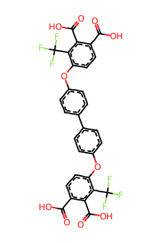 O=C(O)c1ccc(Oc2ccc(-c3ccc(Oc4ccc(C(=O)O)c(C(=O)O)c4C(F)(F)F)cc3)cc2)c(C(F)(F)F)c1C(=O)O